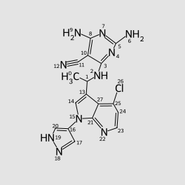 CC(Nc1nc(N)nc(N)c1C#N)c1cn(-c2cn[nH]c2)c2nccc(Cl)c12